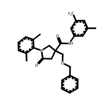 Cc1cc(NC(=O)C2(COCc3ccccc3)CC(=O)N(c3c(C)cccc3C)C2)cc(C(F)(F)F)c1